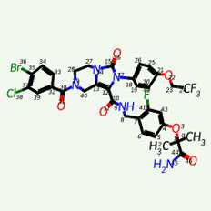 CC(C)(Oc1ccc(CNC(=O)c2c3n(c(=O)n2-c2ccc(OCC(F)(F)F)cc2)CCN(C(=O)c2ccc(Br)c(Cl)c2)C3)c(F)c1)C(N)=O